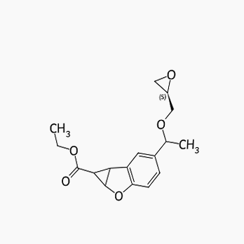 CCOC(=O)C1C2Oc3ccc(C(C)OC[C@H]4CO4)cc3C21